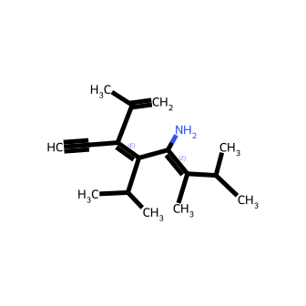 C#C/C(C(=C)C)=C(/C(N)=C(\C)C(C)C)C(C)C